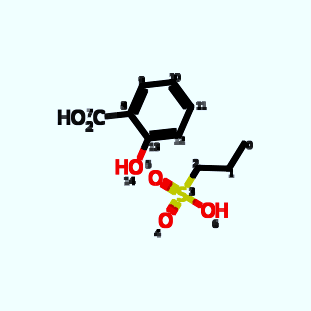 CCCS(=O)(=O)O.O=C(O)c1ccccc1O